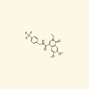 CCn1cc(C(=O)NCc2ccc(C(F)(F)F)cc2)c2cc(OC)c(OC)cc2c1=O